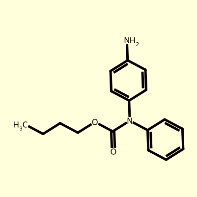 CCCCOC(=O)N(c1ccccc1)c1ccc(N)cc1